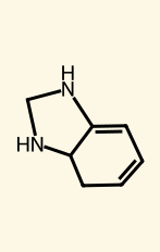 C1=CCC2NCNC2=C1